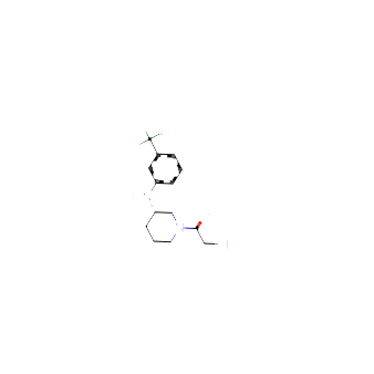 CCC(=O)N1CCC[C@@H](Nc2cccc(C(F)(F)F)c2)C1